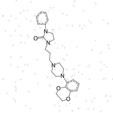 O=C1N(CCCN2CCN(c3cccc4c3OCCO4)CC2)CCN1c1ccccc1